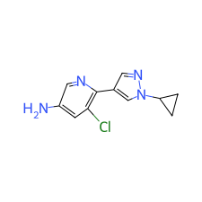 Nc1cnc(-c2cnn(C3CC3)c2)c(Cl)c1